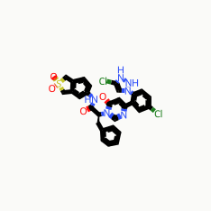 O=C(Nc1ccc2c(c1)CS(=O)(=O)C2)[C@H](Cc1ccccc1)n1cnc(-c2cc(Cl)ccc2N2C=C(Cl)NN2)cc1=O